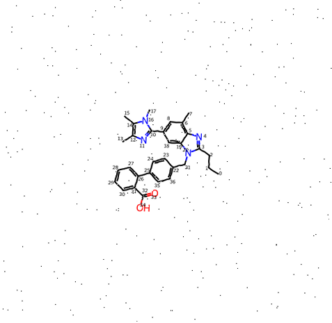 CCCc1nc2c(C)cc(-c3nc(C)c(C)n3C)cc2n1Cc1ccc(-c2ccccc2C(=O)O)cc1